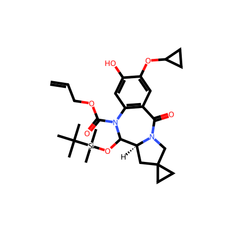 C=CCOC(=O)N1c2cc(O)c(OC3CC3)cc2C(=O)N2CC3(CC3)C[C@H]2C1O[Si](C)(C)C(C)(C)C